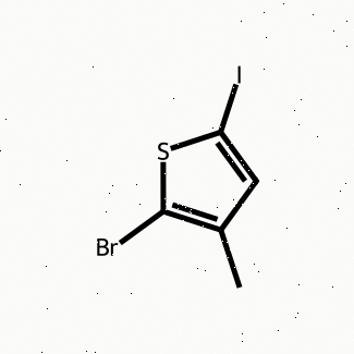 Cc1cc(I)sc1Br